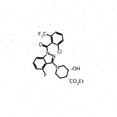 CCOC(=O)[C@@H]1CCN(c2nn(C(=O)c3c(Cl)cccc3C(F)(F)F)c3cccc(F)c23)C[C@@H]1O